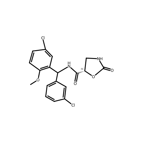 COc1ccc(Cl)cc1C(NC(=O)[C@@H]1CNC(=O)O1)c1cccc(Cl)c1